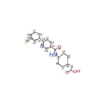 O=C(O)CC1CCC(NC(=O)c2ccc(-c3cccc(F)c3)nc2)CC1